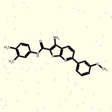 COc1cccc(-c2ccc3c(N)c(C(=O)Nc4ccc(C)c(C)c4)sc3n2)c1